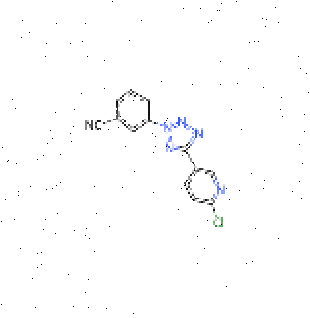 N#Cc1cccc(-n2nnc(-c3ccc(Cl)nc3)n2)c1